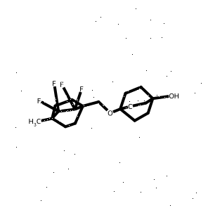 CC12CCC(COC34CCC(O)(CC3)CC4)(CC1)C(F)(F)C2(F)F